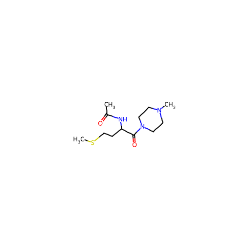 CSCCC(NC(C)=O)C(=O)N1CCN(C)CC1